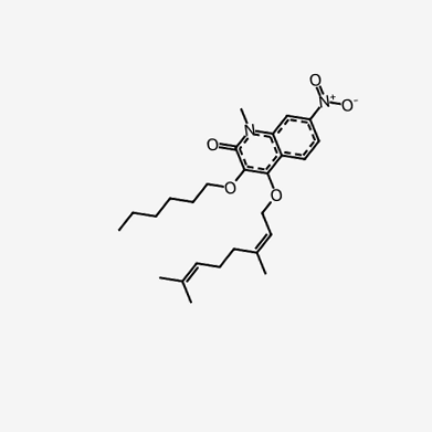 CCCCCCOc1c(OCC=C(C)CCC=C(C)C)c2ccc([N+](=O)[O-])cc2n(C)c1=O